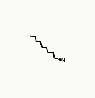 CCCC=CCCC=CC#N